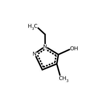 CCn1ncc(C)c1O